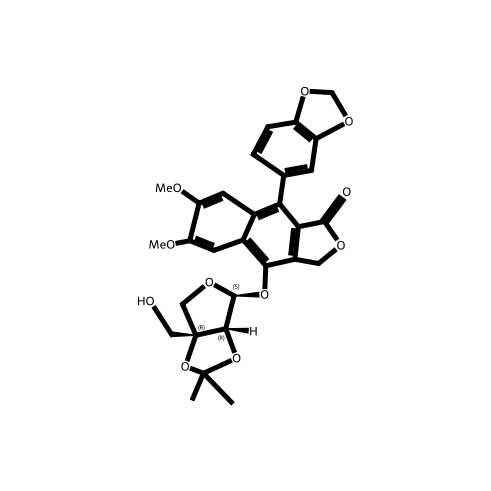 COc1cc2c(O[C@@H]3OC[C@@]4(CO)OC(C)(C)O[C@@H]34)c3c(c(-c4ccc5c(c4)OCO5)c2cc1OC)C(=O)OC3